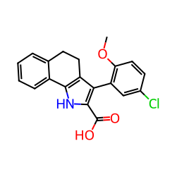 COc1ccc(Cl)cc1-c1c(C(=O)O)[nH]c2c1CCc1ccccc1-2